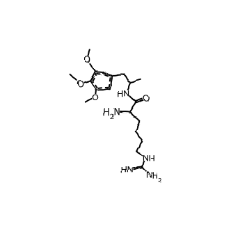 COc1cc(CC(C)NC(=O)C(N)CCCCNC(=N)N)cc(OC)c1OC